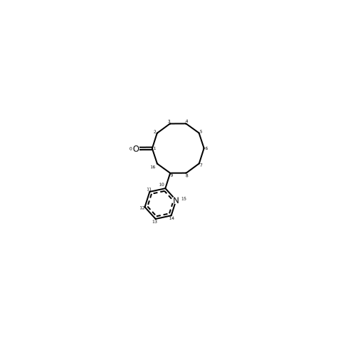 O=C1CCCCCCCC(c2ccccn2)C1